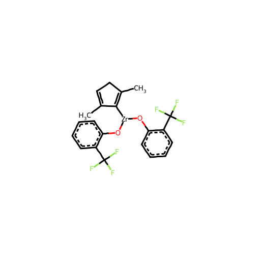 CC1=CCC(C)=[C]1[Zr]([O]c1ccccc1C(F)(F)F)[O]c1ccccc1C(F)(F)F